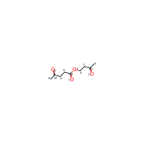 CC(=O)CCOC(=O)CCC(C)=O